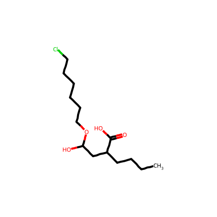 CCCCC(CC(O)OCCCCCCCl)C(=O)O